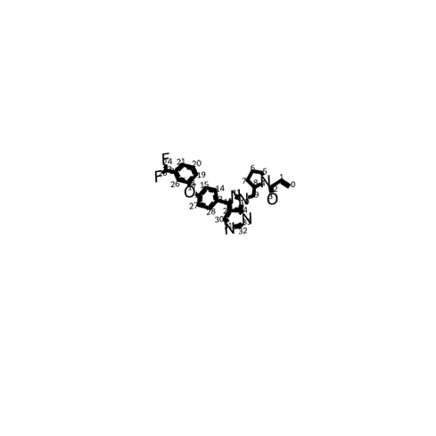 C=CC(=O)N1CCCC1Cn1nc(-c2ccc(Oc3cccc(C(F)F)c3)cc2)c2cncnc21